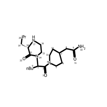 CCCCC(C(=O)N1CCC(CC(N)=O)CC1)N1CCN[C@@H](CC(C)C)C1=O